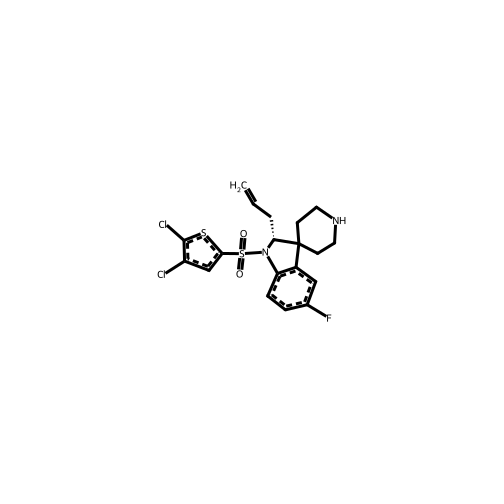 C=CC[C@H]1N(S(=O)(=O)c2cc(Cl)c(Cl)s2)c2ccc(F)cc2C12CCNCC2